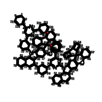 c1ccc(-c2cc(-c3cccc(-n4c5cc6c(cc5c5c(-c7cccc(-c8cc(-c9ccccc9)nc(-n9c%10cc%11c(cc%10c%10ccc%12ccccc%12c%109)Oc9ccccc9C%119c%10ccccc%10-c%10ccccc%109)n8)c7)cc7ccccc7c54)Oc4ccccc4C64c5ccccc5-c5ccccc54)c3)nc(-c3ccccc3)n2)cc1